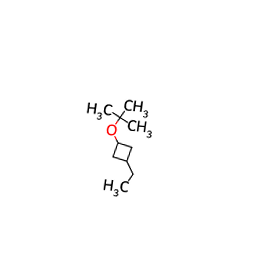 CCC1CC(OC(C)(C)C)C1